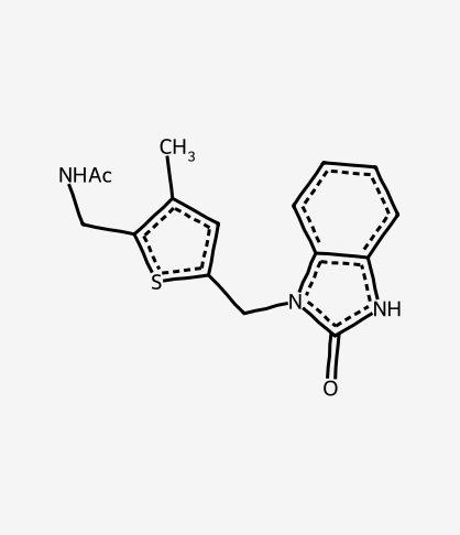 CC(=O)NCc1sc(Cn2c(=O)[nH]c3ccccc32)cc1C